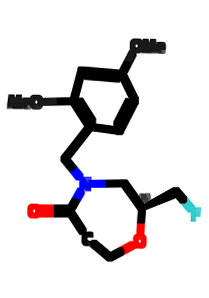 COc1ccc(CN2C[C@@H](CF)OCCC2=O)c(OC)c1